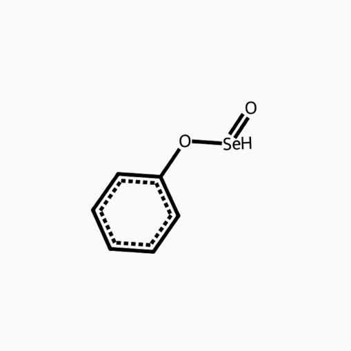 O=[SeH]Oc1ccccc1